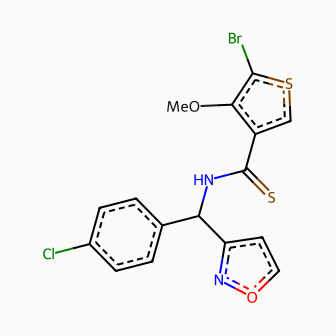 COc1c(C(=S)NC(c2ccc(Cl)cc2)c2ccon2)csc1Br